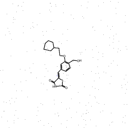 O=C1NC(=O)/C(=C/c2ccc(CO)c(OCCC3CCCCC3)c2)S1